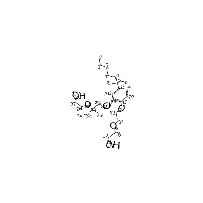 CCCCCC(C)(C)c1ccc(OCCOCCO)c(OCC2(C)CCC(CO)O2)c1